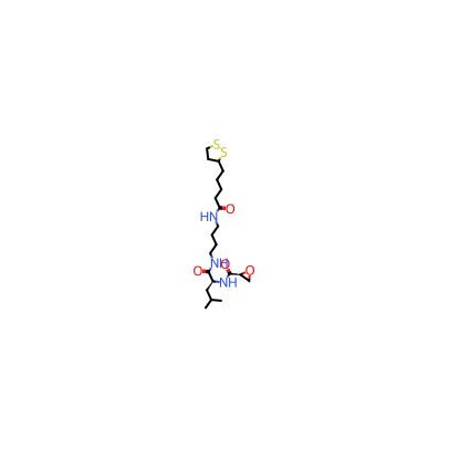 CC(C)C[C@H](NC(=O)[C@@H]1CO1)C(=O)NCCCCNC(=O)CCCCC1CCSS1